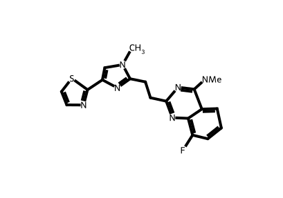 CNc1nc(CCc2nc(-c3nccs3)cn2C)nc2c(F)cccc12